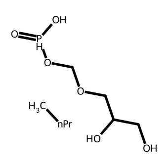 CCCC.O=[PH](O)OCOCC(O)CO